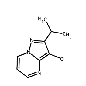 CC(C)c1nn2cccnc2c1Cl